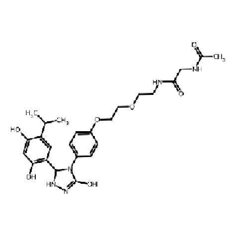 CC(=O)NCC(=O)NCCOCCOc1ccc(N2C(O)=NNC2c2cc(C(C)C)c(O)cc2O)cc1